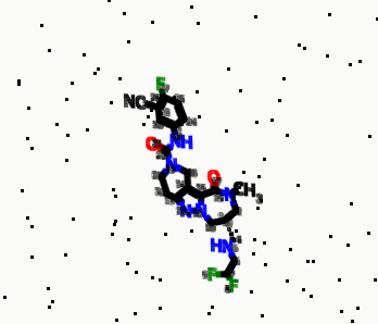 CN1C[C@H](CNCC(F)F)Cn2nc3c(c2C1=O)CN(C(=O)Nc1ccc(F)c(C#N)c1)CC3